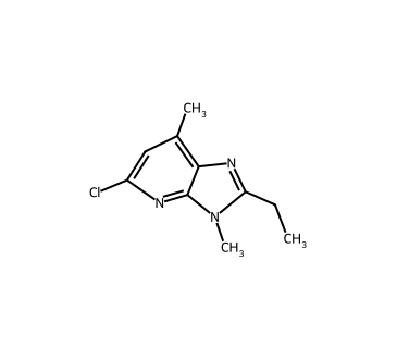 CCc1nc2c(C)cc(Cl)nc2n1C